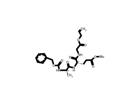 C=CCOC(=O)CNC(=O)[C@H](CCC(=O)OC(C)(C)C)NC(=O)[C@H](C)NC(=O)OCc1ccccc1